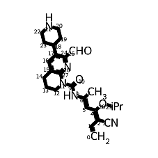 C=C/C(C#N)=C(\C=C(/C)NC(=O)N1CCCc2cc(C3CCNCC3)c(C=O)nc21)OC(C)C